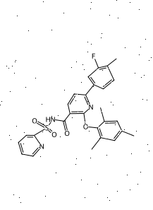 Cc1cc(C)c(Oc2nc(-c3ccc(C)c(F)c3)ccc2C(=O)NS(=O)(=O)c2ccccn2)c(C)c1